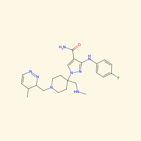 CNCC1(n2cc(C(N)=O)c(Nc3ccc(F)cc3)n2)CCN(CC2N=NC=CC2C)CC1